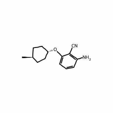 C[C@H]1CC[C@H](Oc2cccc(N)c2C#N)CC1